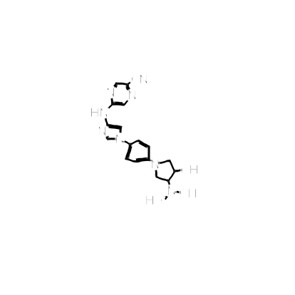 CC1CN(c2ccc(-n3cnc(Nc4cnc(C#N)cn4)c3)cc2)CC1N(C)C